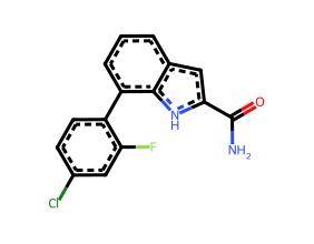 NC(=O)c1cc2cccc(-c3ccc(Cl)cc3F)c2[nH]1